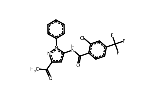 CC(=O)c1cc(NC(=O)c2ccc(C(F)(F)F)cc2Cl)n(-c2ccccc2)n1